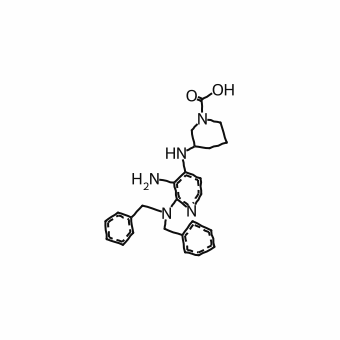 Nc1c(NC2CCCN(C(=O)O)C2)ccnc1N(Cc1ccccc1)Cc1ccccc1